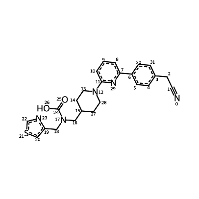 N#CCc1ccc(-c2cccc(N3CCC(CN(Cc4cscn4)C(=O)O)CC3)n2)cc1